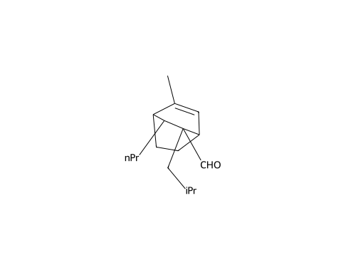 CCCC1C2CCC(C=C2C)C1(C=O)CC(C)C